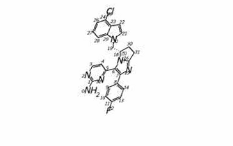 Nc1nccc(-c2c(-c3ccc(F)cc3)nc3n2[C@H](Cn2ccc4c(Cl)cccc42)CC3)n1